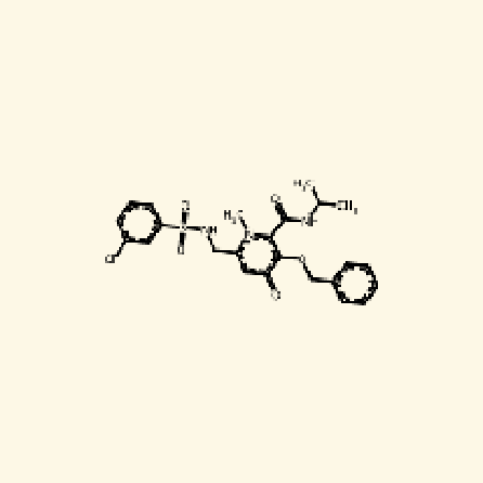 CC(C)NC(=O)c1c(OCc2ccccc2)c(=O)cc(CNS(=O)(=O)c2cccc(Cl)c2)n1C